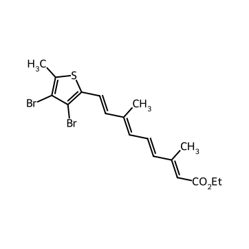 CCOC(=O)/C=C(C)/C=C/C=C(C)/C=C/c1sc(C)c(Br)c1Br